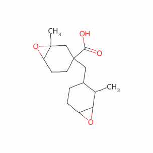 CC1C(CC2(C(=O)O)CCC3OC3(C)C2)CCC2OC21